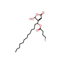 CCCCCCCCCCCCC(OC(=O)CCCI)C1=CC(=O)OC1O